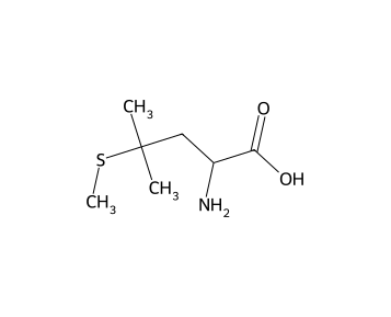 CSC(C)(C)CC(N)C(=O)O